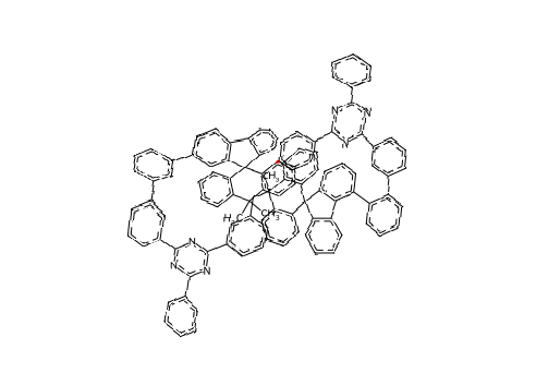 CC1(C)c2ccccc2C2(c3ccccc3-c3ccc(-c4cccc(-c5cccc(-c6nc(-c7ccccc7)nc(-c7cccc(CC8(C)c9ccccc9C9(c%10ccccc%10-c%10c(-c%11ccccc%11-c%11cccc(-c%12nc(-c%13ccccc%13)nc(-c%13ccccc%13)n%12)c%11)cccc%109)c9ccccc98)c7)n6)c5)c4)cc32)c2ccccc21